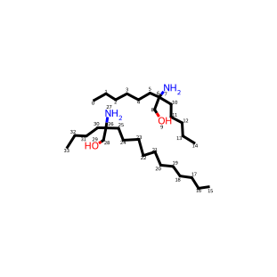 CCCCCCC(N)(CO)CCCCC.CCCCCCCCCCCC(N)(CO)CCCC